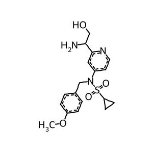 COc1ccc(CN(c2ccnc(C(N)CO)c2)S(=O)(=O)C2CC2)cc1